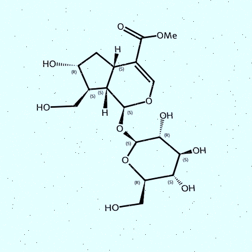 COC(=O)C1=CO[C@@H](O[C@@H]2O[C@H](CO)[C@@H](O)[C@H](O)[C@H]2O)[C@@H]2[C@@H](CO)[C@H](O)C[C@H]12